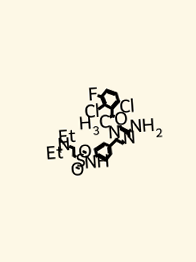 CCN(CC)CCS(=O)(=O)Nc1ccc(-c2cnc(N)c(OC(C)c3c(Cl)ccc(F)c3Cl)n2)cc1